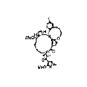 COc1nn(C)cc1C(=O)NS1(=O)=NC(=O)c2ccc3c(c2)N(Cc2ccc(Cl)cc2CCCCO3)C[C@@H]2CC[C@H]2[C@@H](OC)/C=C/CCC1